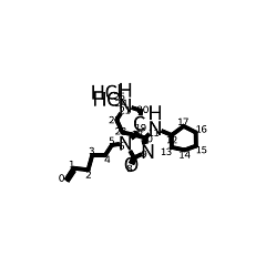 C=CCCCCN1C(=O)N=C(NC2CCCCC2)C12CCNCC2.Cl.Cl